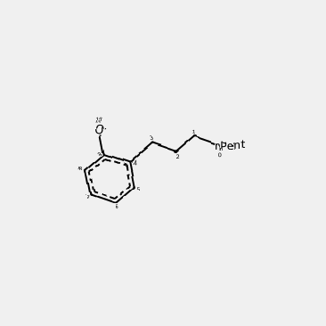 CCCCCCCCc1ccccc1[O]